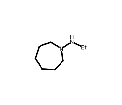 CCNN1CCCCCC1